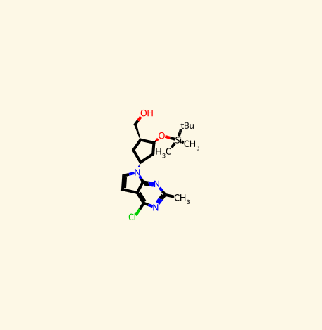 Cc1nc(Cl)c2ccn([C@@H]3C[C@@H](CO)[C@@H](O[Si](C)(C)C(C)(C)C)C3)c2n1